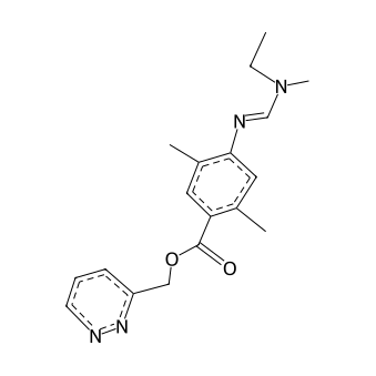 CCN(C)/C=N/c1cc(C)c(C(=O)OCc2cccnn2)cc1C